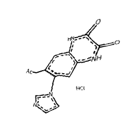 CC(=O)c1cc2[nH]c(=O)c(=O)[nH]c2cc1-n1ccnc1.Cl